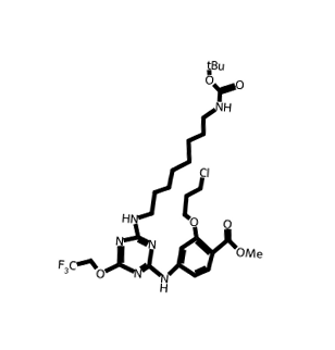 COC(=O)c1ccc(Nc2nc(NCCCCCCCCNC(=O)OC(C)(C)C)nc(OCC(F)(F)F)n2)cc1OCCCCl